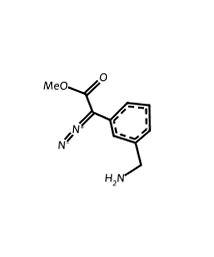 COC(=O)C(=[N+]=[N-])c1cccc(CN)c1